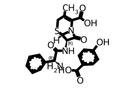 CC1=C(C(=O)O)N2C(=O)[C@@H](NC(=O)[C@H](N)c3ccccc3)[C@H]2SC1.O=C(O)c1ccc(O)cc1